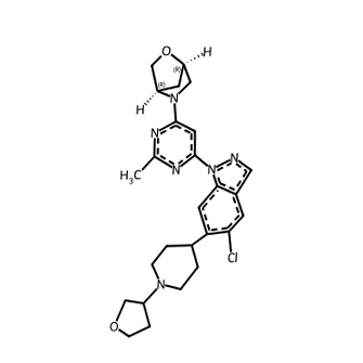 Cc1nc(N2C[C@H]3C[C@@H]2CO3)cc(-n2ncc3cc(Cl)c(C4CCN(C5CCOC5)CC4)cc32)n1